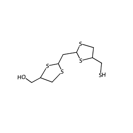 OCC1CSC(CC2SCC(CS)S2)S1